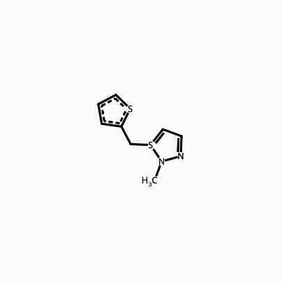 CN1N=CC=S1Cc1cccs1